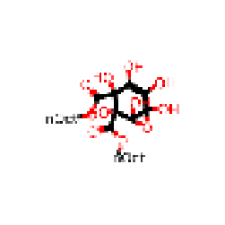 CCCCCCCCOC(=O)C1(O)C(O)=C(O)C2(O)OC2(O)C1(O)C(=O)OCCCCCCCC